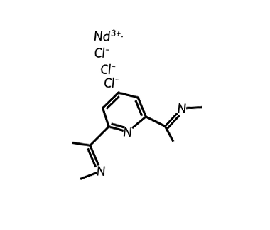 CN=C(C)c1cccc(C(C)=NC)n1.[Cl-].[Cl-].[Cl-].[Nd+3]